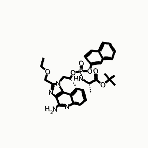 CCOCc1nc2c(N)nc3ccccc3c2n1C[C@@H](C)O[P@@](=O)(N[C@@H](C)C(=O)OC(C)(C)C)Oc1ccc2ccccc2c1